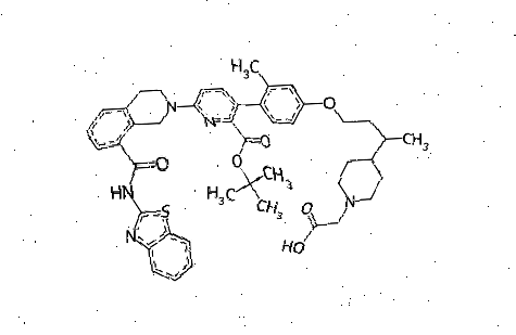 Cc1cc(OCCC(C)C2CCN(CC(=O)O)CC2)ccc1-c1ccc(N2CCc3cccc(C(=O)Nc4nc5ccccc5s4)c3C2)nc1C(=O)OC(C)(C)C